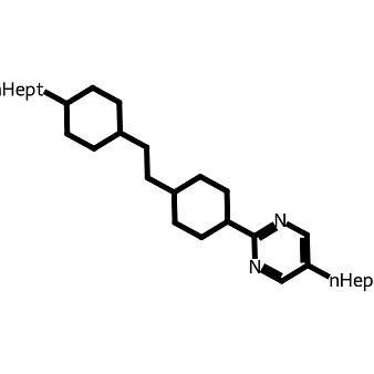 CCCCCCCc1cnc(C2CCC(CCC3CCC(CCCCCCC)CC3)CC2)nc1